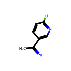 CC(=N)c1ccc(Cl)nc1